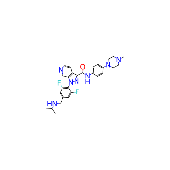 CC(C)NCc1cc(F)c(-n2nc(C(=O)Nc3ccc(N4CCN(C)CC4)cc3)c3ccncc32)c(F)c1